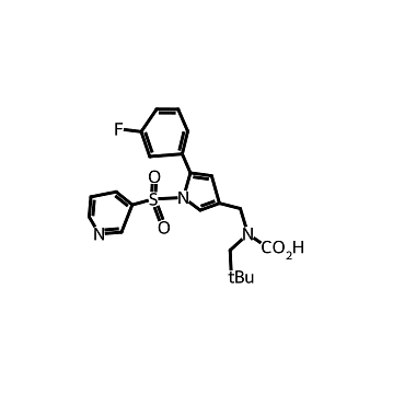 CC(C)(C)CN(Cc1cc(-c2cccc(F)c2)n(S(=O)(=O)c2cccnc2)c1)C(=O)O